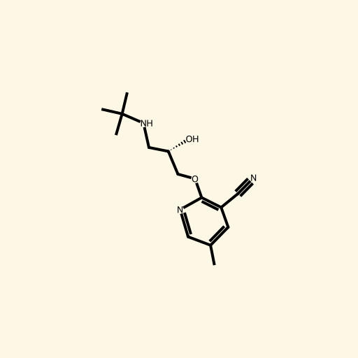 Cc1cnc(OC[C@@H](O)CNC(C)(C)C)c(C#N)c1